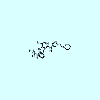 NC(=O)[C@@H]1[C@H](Nc2nc(Nc3cnn(CCN4CCCCC4)c3)ncc2Br)[C@H]2C=C[C@@H]1C2